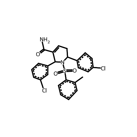 Cc1ccccc1S(=O)(=O)N1C(c2ccc(Cl)cc2)CC=C(C(N)=O)C1c1cccc(Cl)c1